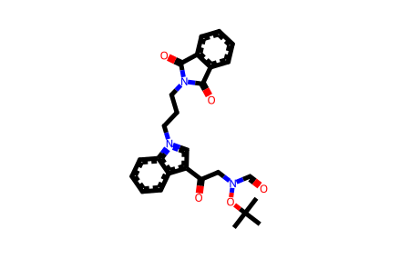 CC(C)(C)ON(C=O)CC(=O)c1cn(CCCN2C(=O)c3ccccc3C2=O)c2ccccc12